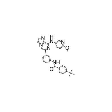 COc1ccc(Nc2nc(-c3cccc(NC(=O)c4ccc(C(C)(C)C)cc4)c3)cn3ccnc23)cn1